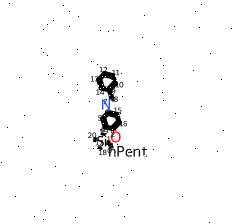 CCCCCC(Oc1ccc(/N=C/c2ccccc2)cc1)[Si](C)(C)C